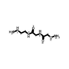 BNCCNC(=O)CNC(=O)CON